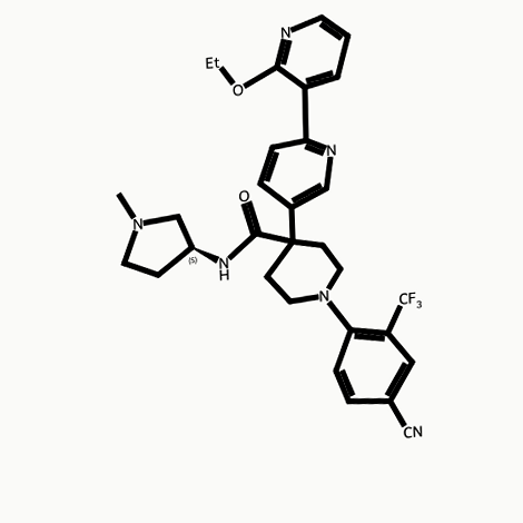 CCOc1ncccc1-c1ccc(C2(C(=O)N[C@H]3CCN(C)C3)CCN(c3ccc(C#N)cc3C(F)(F)F)CC2)cn1